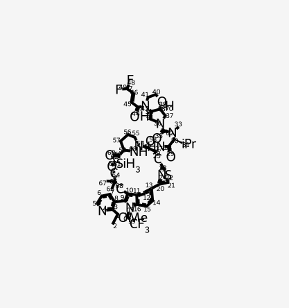 CO[C@@H](C)c1ncccc1-c1c2c3cc(ccc3n1CC(F)(F)F)-c1csc(n1)C[C@H](NC(=O)[C@H](C(C)C)N(C)C(=O)N1C[C@@H]3OCCN(C(=O)/C=C/C(F)F)[C@@H]3C1)C(=O)N1CCC[C@@](C(=O)[SiH3])(COCC(C)(C)C2)N1